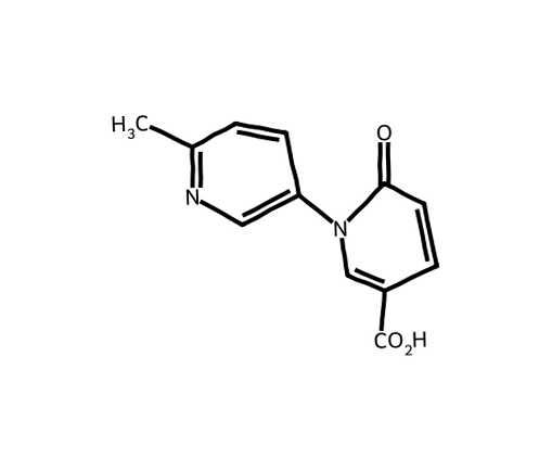 Cc1ccc(-n2cc(C(=O)O)ccc2=O)cn1